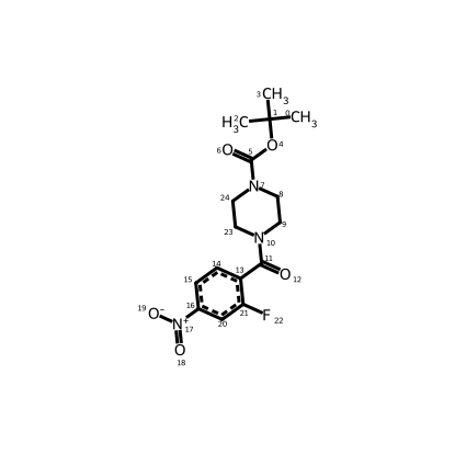 CC(C)(C)OC(=O)N1CCN(C(=O)c2ccc([N+](=O)[O-])cc2F)CC1